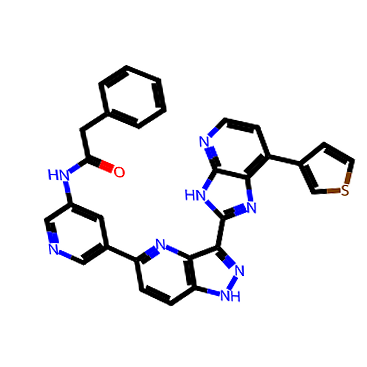 O=C(Cc1ccccc1)Nc1cncc(-c2ccc3[nH]nc(-c4nc5c(-c6ccsc6)ccnc5[nH]4)c3n2)c1